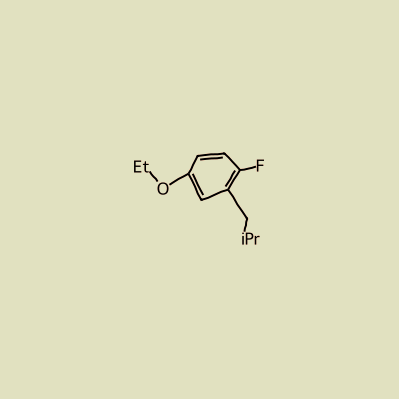 CCOc1ccc(F)c(CC(C)C)c1